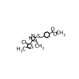 CCn1c(SCc2ccc(C(=O)OC)cc2)nnc1-c1scc(C)c1Cl